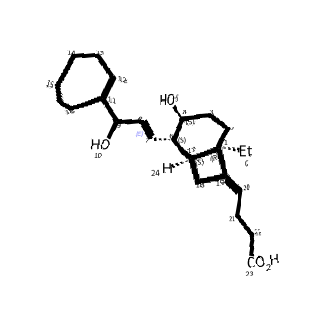 CC[C@@]12CC[C@H](O)[C@@H](/C=C/C(O)C3CCCCC3)[C@@H]1CC2=CCCC(=O)O